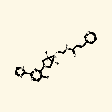 O=C(/C=C/c1cccnc1)NCC[C@@H]1[C@H]2CN(c3nc(-c4ncco4)ncc3F)C[C@@H]12